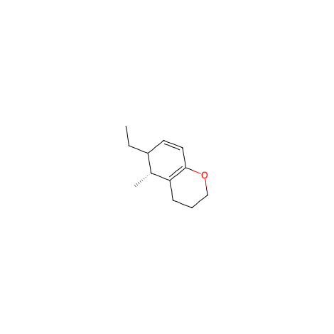 CCC1C=CC2=C(CCCO2)[C@@H]1C